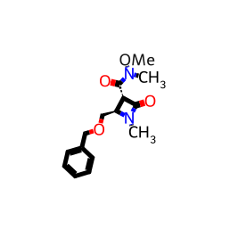 CON(C)C(=O)[C@@H]1C(=O)N(C)[C@H]1COCc1ccccc1